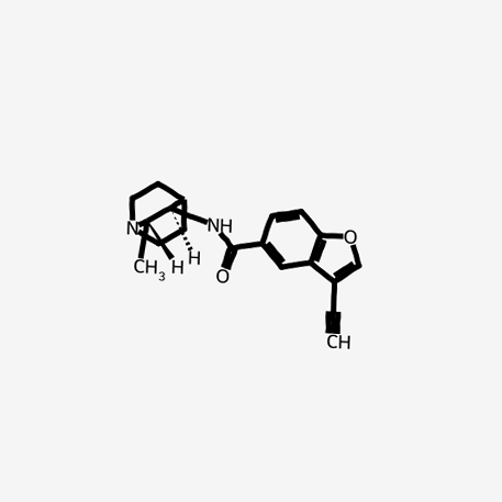 C#Cc1coc2ccc(C(=O)N[C@@H]3C4CCN(CC4)[C@H]3C)cc12